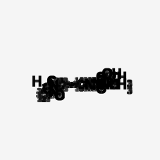 CC(C)[C@@H](NS(=O)(=O)N1CCN(c2ccc(C#Cc3ccc4c(c3)c(=O)n(CC3CCCCC3)c(=O)n4C)cc2)CC1)C(=O)O